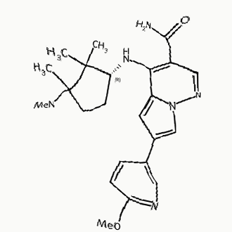 CNC1(C)CC[C@@H](Nc2c(C(N)=O)cnn3cc(-c4ccc(OC)nc4)cc23)C1(C)C